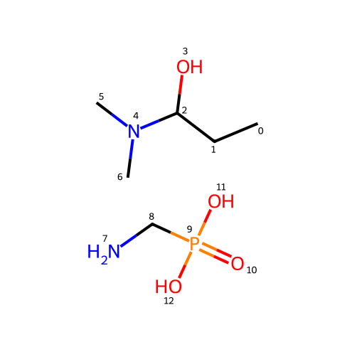 CCC(O)N(C)C.NCP(=O)(O)O